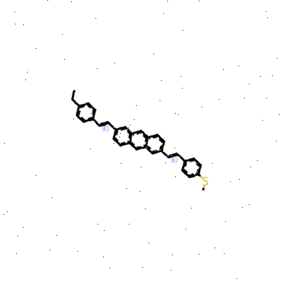 CCc1ccc(/C=C/c2ccc3cc4cc(/C=C/c5ccc(SC)cc5)ccc4cc3c2)cc1